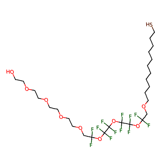 OCCOCCOCCOCCOCC(F)(F)OC(F)(F)C(F)(F)OC(F)(F)C(F)(F)OC(F)(F)COCCCCCCCCCCCS